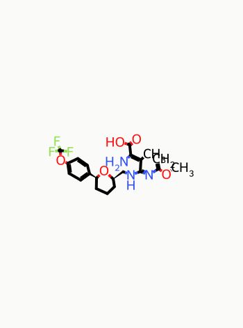 C=C(/N=C(NC[C@H]1CCC[C@@H](c2ccc(OC(F)(F)F)cc2)O1)\C(C)=C(/N)C(=O)O)OC